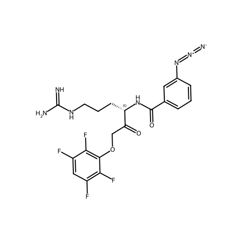 [N-]=[N+]=Nc1cccc(C(=O)N[C@@H](CCCNC(=N)N)C(=O)COc2c(F)c(F)cc(F)c2F)c1